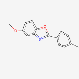 COc1ccc2oc(-c3ccc(C)cc3)nc2c1